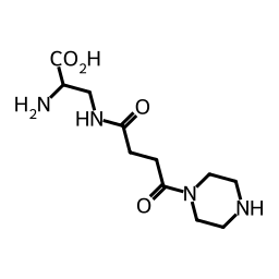 NC(CNC(=O)CCC(=O)N1CCNCC1)C(=O)O